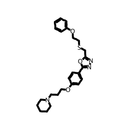 c1ccc(OCCSCc2nnc(-c3ccc(OCCCN4CCCCC4)cc3)o2)cc1